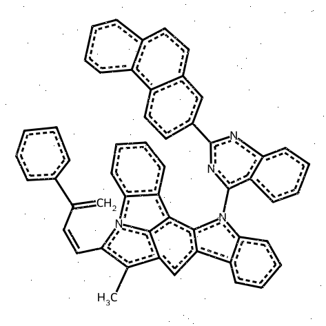 C=C(/C=C\c1c(C)c2cc3c4ccccc4n(-c4nc(-c5ccc6c(ccc7ccccc76)c5)nc5ccccc45)c3c3c4ccccc4n1c23)c1ccccc1